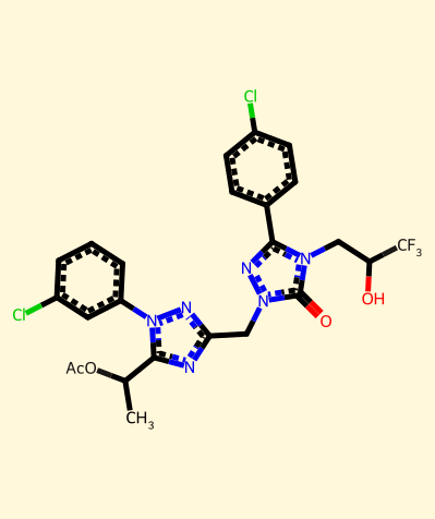 CC(=O)OC(C)c1nc(Cn2nc(-c3ccc(Cl)cc3)n(CC(O)C(F)(F)F)c2=O)nn1-c1cccc(Cl)c1